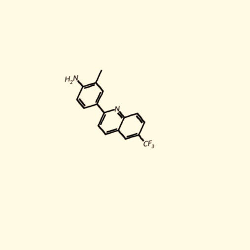 Cc1cc(-c2ccc3cc(C(F)(F)F)ccc3n2)ccc1N